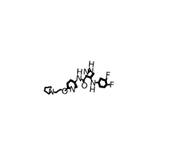 O=C(Nc1ccc(OCCN2CCCC2)nc1)c1n[nH]cc1Nc1ccc(F)c(F)c1